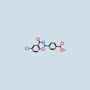 COC(=O)c1ccc(-c2nc(=O)c3cc(Cl)ccc3o2)cc1